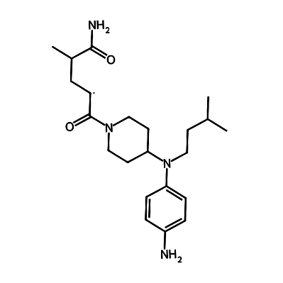 CC(C)CCN(c1ccc(N)cc1)C1CCN(C(=O)[CH]CC(C)C(N)=O)CC1